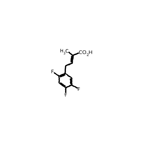 C/C(=C\Cc1cc(F)c(F)cc1F)C(=O)O